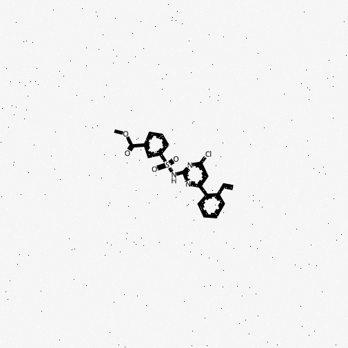 C=Cc1ccccc1-c1cc(Cl)nc(NS(=O)(=O)c2cccc(C(=O)OC)c2)n1